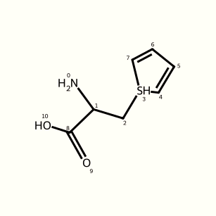 NC(C[SH]1C=CC=C1)C(=O)O